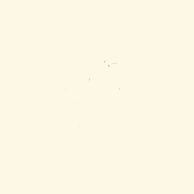 NS(=O)(=O)CC(=O)C1(Cl)CC1